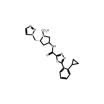 O=C(NC1C[C@H](Cn2ccnn2)N(C(=O)O)C1)c1nnc(-c2ccccc2C2CC2)o1